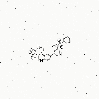 Cc1noc(C)c1-c1cnc2ccc(-c3cncc(NS(=O)(=O)c4ccccc4)c3)cc2n1